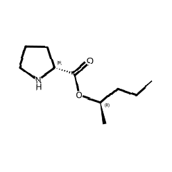 CCC[C@@H](C)OC(=O)[C@H]1CCCN1